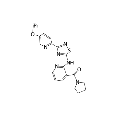 CC(C)Oc1ccc(-c2nsc(Nc3ncccc3C(=O)N3CCCC3)n2)nc1